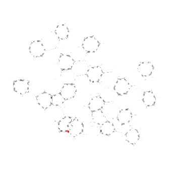 c1ccc(-c2ccc3c(c2)c2c4c(ccc2n3-c2ccccc2)B2c3cc5c(cc3N(c3ccccc3)c3cc(N(c6ccccc6)c6ccccc6)cc(c32)O4)Oc2cc(N(c3ccccc3)c3ccccc3)cc3c2B5c2ccc4c(c2N3c2ccccc2)c2cc(-c3ccccc3)ccc2n4-c2ccccc2)cc1